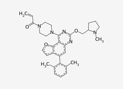 C=CC(=O)N1CCN(c2nc(OCC3CCCN3C)nc3cc(-c4c(C)cccc4C)c4ccoc4c23)CC1